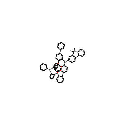 CC1(C)c2ccccc2-c2ccc(N(c3ccc4c(c3)C3(c5ccccc5-4)c4ccccc4N(c4ccccc4)c4ccccc43)c3cc(-c4ccccc4)ccc3-c3ccccc3)cc21